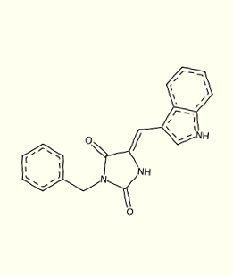 O=C1N/C(=C\c2c[nH]c3ccccc23)C(=O)N1Cc1ccccc1